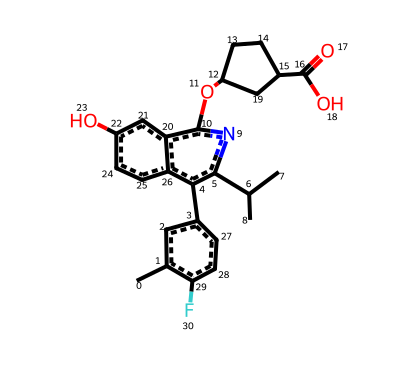 Cc1cc(-c2c(C(C)C)nc(OC3CCC(C(=O)O)C3)c3cc(O)ccc23)ccc1F